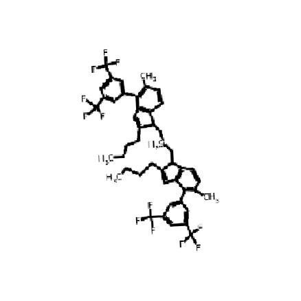 CCCCC1=Cc2c(ccc(C)c2-c2cc(C(F)(F)F)cc(C(F)(F)F)c2)C1C[SiH2]CC1C(CCCC)=Cc2c1ccc(C)c2-c1cc(C(F)(F)F)cc(C(F)(F)F)c1